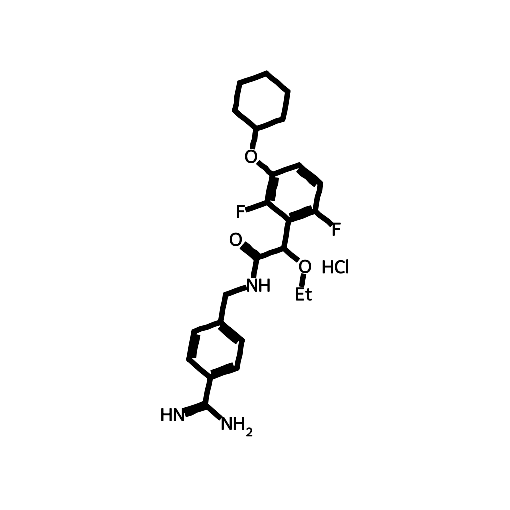 CCOC(C(=O)NCc1ccc(C(=N)N)cc1)c1c(F)ccc(OC2CCCCC2)c1F.Cl